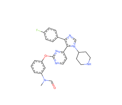 CN(C=O)c1cccc(Oc2nccc(-c3c(-c4ccc(F)cc4)ncn3C3CCNCC3)n2)c1